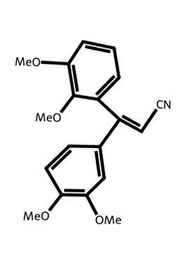 COc1ccc(C(=CC#N)c2cccc(OC)c2OC)cc1OC